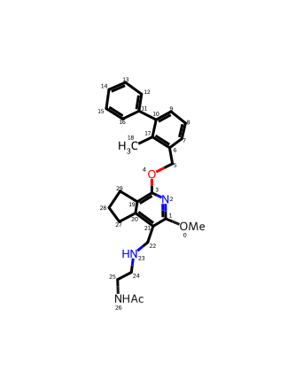 COc1nc(OCc2cccc(-c3ccccc3)c2C)c2c(c1CNCCNC(C)=O)CCC2